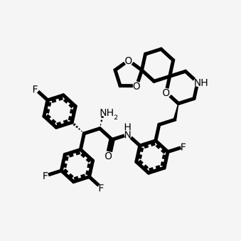 N[C@H](C(=O)Nc1cccc(F)c1CC[C@@H]1CNCC2(CCCC3(C2)OCCO3)O1)[C@@H](c1ccc(F)cc1)c1cc(F)cc(F)c1